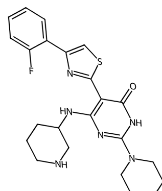 O=c1[nH]c(N2CCOCC2)nc(NC2CCCNC2)c1-c1nc(-c2ccccc2F)cs1